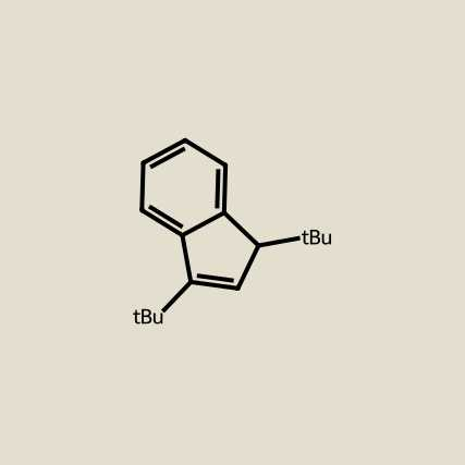 CC(C)(C)C1=CC(C(C)(C)C)c2ccccc21